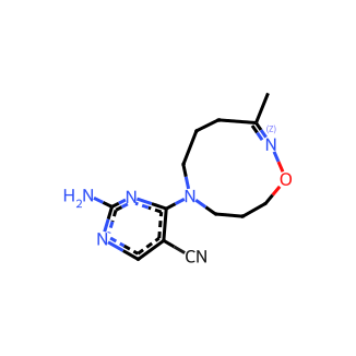 C/C1=N/OCCCN(c2nc(N)ncc2C#N)CCC1